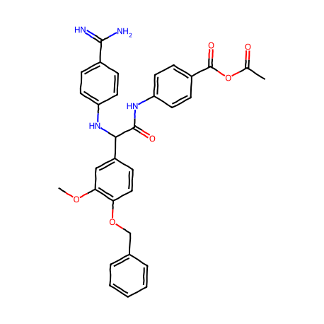 COc1cc(C(Nc2ccc(C(=N)N)cc2)C(=O)Nc2ccc(C(=O)OC(C)=O)cc2)ccc1OCc1ccccc1